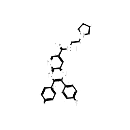 O=C(NCCN1CCCC1)c1cnc2nc(-c3ccc(F)cc3)c(-c3ccc(F)cc3)nc2c1